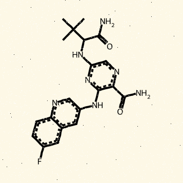 CC(C)(C)C(Nc1cnc(C(N)=O)c(Nc2cnc3ccc(F)cc3c2)n1)C(N)=O